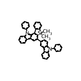 C[Si]1(C)c2ccccc2-c2c1c(-c1ccc3c(c1)c1ccccc1n3-c1ccccc1)cc1c3ccccc3n(-c3ccccc3)c21